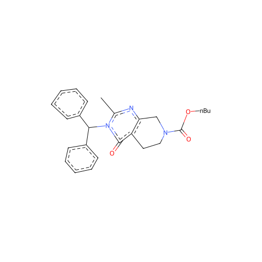 CCCCOC(=O)N1CCc2c(nc(C)n(C(c3ccccc3)c3ccccc3)c2=O)C1